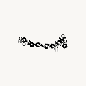 CC(=O)c1c(C)c2cnc(Nc3ccc(N4CCN(CCN5CCC(c6ccc7c(c6)CN(C6CCC(=O)NC6=O)C7)CC5)CC4)cn3)nc2n(C2CCCC2)c1=O